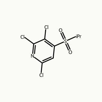 CC(C)S(=O)(=O)c1cc(Cl)nc(Cl)c1Cl